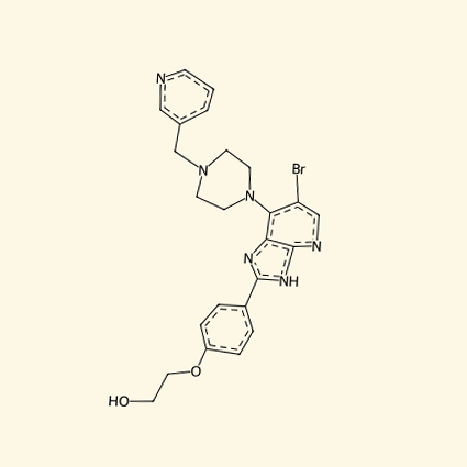 OCCOc1ccc(-c2nc3c(N4CCN(Cc5cccnc5)CC4)c(Br)cnc3[nH]2)cc1